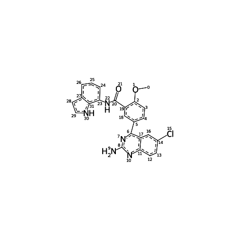 COc1ccc(-c2nc(N)nc3ccc(Cl)cc23)cc1C(=O)Nc1cccc2cc[nH]c12